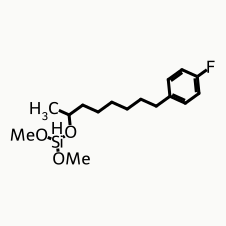 CO[SiH](OC)OC(C)CCCCCCc1ccc(F)cc1